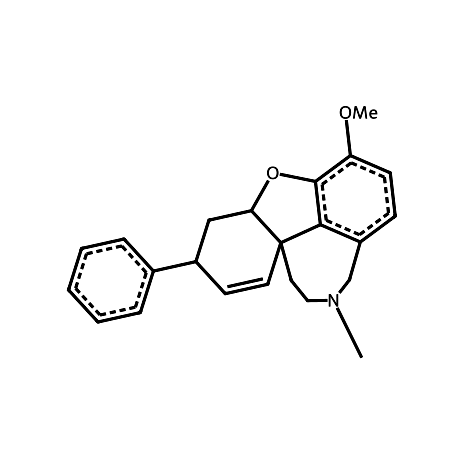 COc1ccc2c3c1OC1CC(c4ccccc4)C=CC31CCN(C)C2